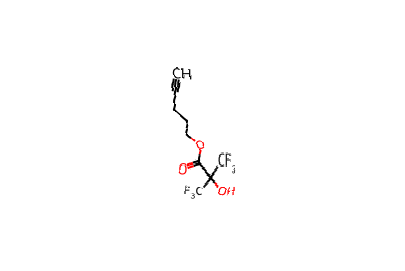 C#CCCCOC(=O)C(O)(C(F)(F)F)C(F)(F)F